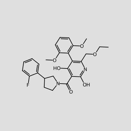 CCOCc1nc(O)c(C(=O)N2CCC(c3ccccc3F)C2)c(O)c1-c1c(OC)cccc1OC